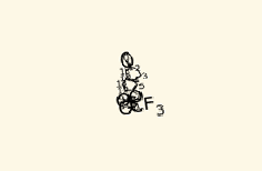 O=C1CCc2cc(OS(=O)(=O)C(F)(F)F)ccc2C1